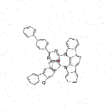 c1ccc(-c2ccc(-c3nc(-c4ccc5oc6ccccc6c5c4)nc(-n4c5ccccc5c5ccc6c7ccccc7n(-c7ccccc7)c6c54)n3)cc2)cc1